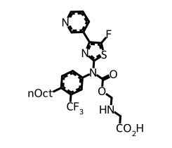 CCCCCCCCc1ccc(N(C(=O)OCNCC(=O)O)c2nc(-c3cccnc3)c(F)s2)cc1C(F)(F)F